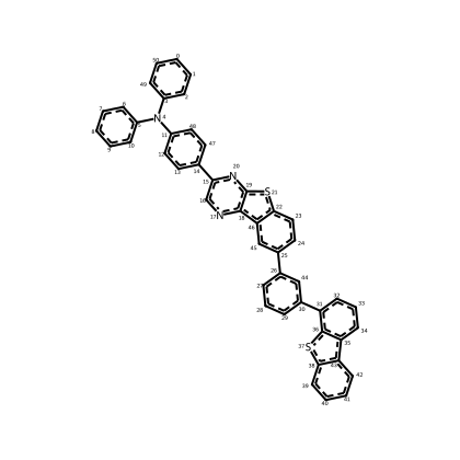 c1ccc(N(c2ccccc2)c2ccc(-c3cnc4c(n3)sc3ccc(-c5cccc(-c6cccc7c6sc6ccccc67)c5)cc34)cc2)cc1